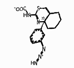 N=[N+]=Nc1cccc([C@]23CCCCC2CSC(NC(=O)[O-])=N3)c1